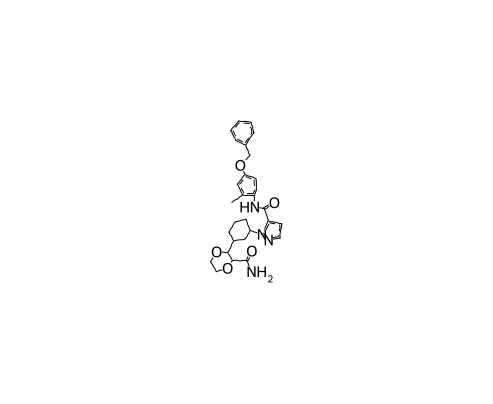 Cc1cc(OCc2ccccc2)ccc1NC(=O)c1ccnn1C1CCCC(C2OCCOC2C(N)=O)C1